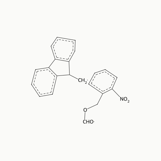 O=[C]OCc1ccccc1[N+](=O)[O-].[CH2]C1c2ccccc2-c2ccccc21